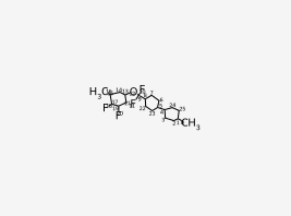 CC1CCC(C2CCC(C(F)(F)OC3CC(C)C(F)C(F)C3)CC2)CC1